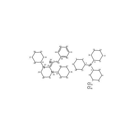 C1CCC(P(C2CCCCC2)C2CCCCC2)CC1.[CH](=[Ru+2]=[C]1N(C2CCCCC2)CCCN1C1CCCCC1)c1ccccc1.[Cl-].[Cl-]